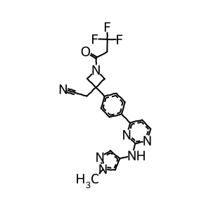 Cn1cc(Nc2nccc(-c3ccc(C4(CC#N)CN(C(=O)CC(F)(F)F)C4)cc3)n2)cn1